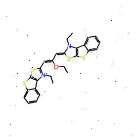 CCOC(=Cc1sc2sc3ccccc3c2[n+]1CC)C=C1Sc2sc3ccccc3c2N1CC